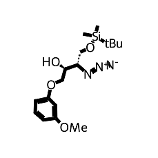 COc1cccc(OC[C@@H](O)[C@H](CO[Si](C)(C)C(C)(C)C)N=[N+]=[N-])c1